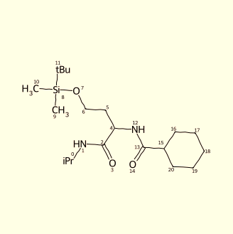 CC(C)NC(=O)C(CCO[Si](C)(C)C(C)(C)C)NC(=O)C1CCCCC1